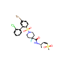 C[C@H](/C=C\S(C)(=O)=O)NC(=O)C1(F)CCN(S(=O)(=O)c2ccc(Br)cc2-c2ccccc2Cl)CC1